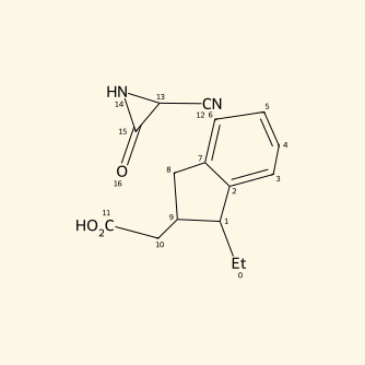 CCC1c2ccccc2CC1CC(=O)O.N#CC1NC1=O